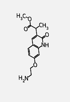 COC(=O)C(C)c1cc2ccc(OCCN)cc2[nH]c1=O